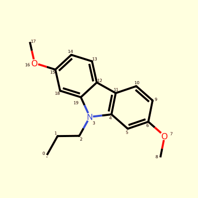 [CH2]CCn1c2cc(OC)ccc2c2ccc(OC)cc21